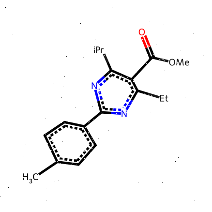 CCc1nc(-c2ccc(C)cc2)nc(C(C)C)c1C(=O)OC